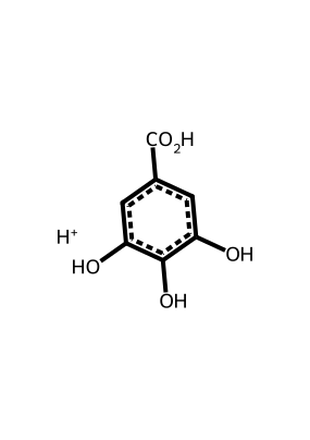 O=C(O)c1cc(O)c(O)c(O)c1.[H+]